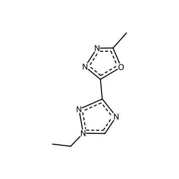 CCn1cnc(-c2nnc(C)o2)n1